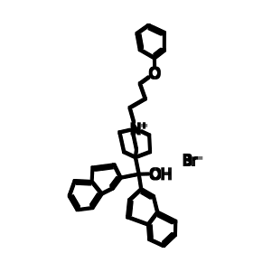 OC(c1ccc2ccccc2c1)(c1ccc2ccccc2c1)C12CC[N+](CCCOc3ccccc3)(CC1)CC2.[Br-]